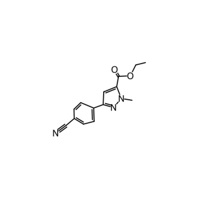 CCOC(=O)c1cc(-c2ccc(C#N)cc2)nn1C